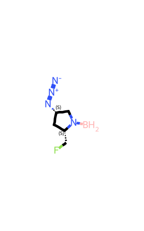 BN1C[C@@H](N=[N+]=[N-])C[C@H]1CF